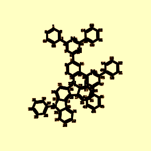 c1ccc(-c2cc(-c3ccc(-n4c5ccccc5c5c6c7ccccc7n(-c7ccccc7)c6ccc54)c(-c4nc(-c5ccccc5)cc(-c5ccccc5)n4)c3)nc(-c3ccccc3)n2)cc1